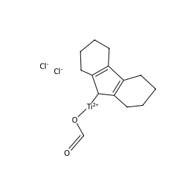 O=C[O][Ti+2][CH]1C2=C(CCCC2)C2=C1CCCC2.[Cl-].[Cl-]